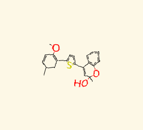 COC1=C(c2ccc(C3=CC(C)(O)Oc4ccccc43)s2)CC(C)C=C1